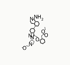 CCOC(=O)Cc1ccccc1OCc1c2cc(-c3cccc4c(N)nccc34)ccc2nn1[C@H]1CCN(CCOC)C1